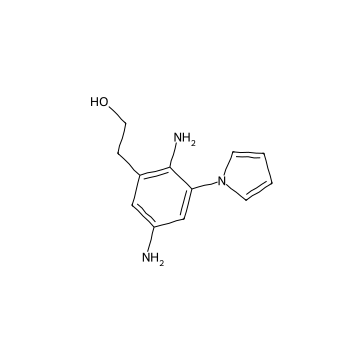 Nc1cc(CCO)c(N)c(-n2cccc2)c1